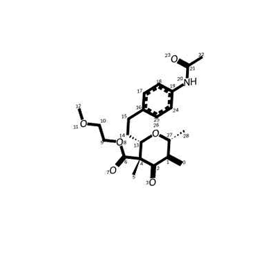 C=C1C(=O)[C@](C)(C(=O)OCCOC)[C@H](CCc2ccc(NC(C)=O)cc2)O[C@@H]1C